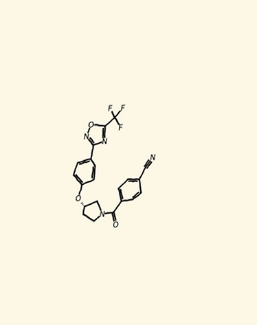 N#Cc1ccc(C(=O)N2CC[C@H](Oc3ccc(-c4noc(C(F)(F)F)n4)cc3)C2)cc1